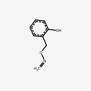 C=NOCc1ccccc1O